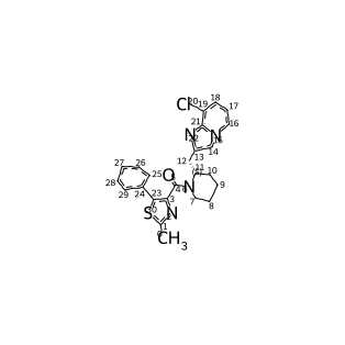 Cc1nc(C(=O)N2CCCC[C@H]2Cc2cn3cccc(Cl)c3n2)c(-c2ccccc2)s1